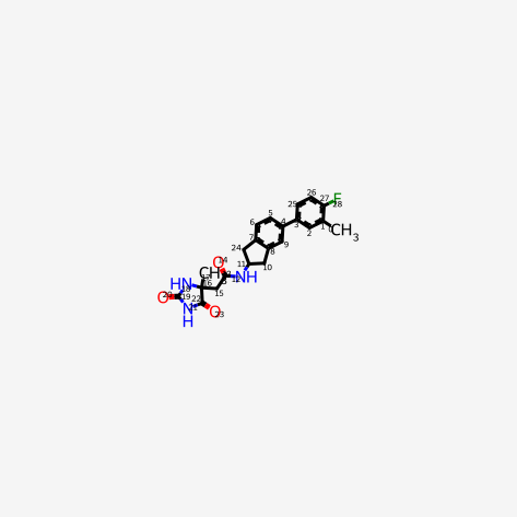 Cc1cc(-c2ccc3c(c2)CC(NC(=O)CC2(C)NC(=O)NC2=O)C3)ccc1F